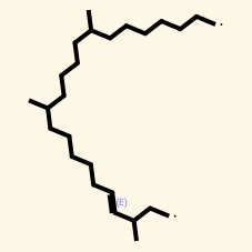 [CH2]CCCCCCC(C)CCCCC(C)CCCCC/C=C/C(C)C[CH2]